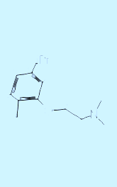 Cc1ccc(C(C)C)cc1OCCN(C)C